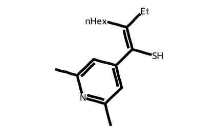 CCCCCC/C(CC)=C(/S)c1cc(C)nc(C)c1